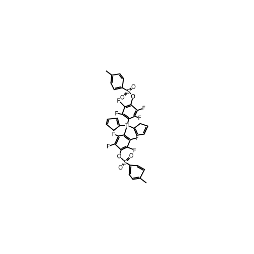 Cc1ccc(S(=O)(=O)Oc2c(F)c(F)[c]([Ti]([C]3=CC=CC3)([C]3=CC=CC3)[c]3c(F)c(F)c(OS(=O)(=O)c4ccc(C)cc4)c(F)c3F)c(F)c2F)cc1